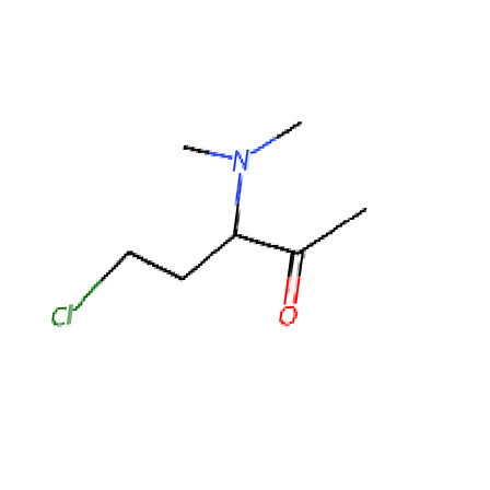 CC(=O)C(CCCl)N(C)C